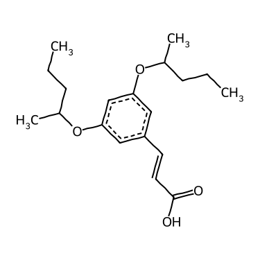 CCCC(C)Oc1cc(/C=C/C(=O)O)cc(OC(C)CCC)c1